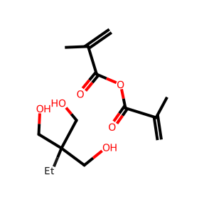 C=C(C)C(=O)OC(=O)C(=C)C.CCC(CO)(CO)CO